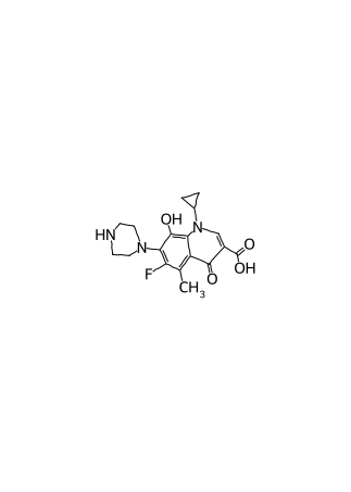 Cc1c(F)c(N2CCNCC2)c(O)c2c1c(=O)c(C(=O)O)cn2C1CC1